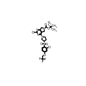 CC(C)(C)OC(=O)N1Cc2nc(Cl)nc(N3CC[C@H](S(=O)(=O)c4ccc(OCC(F)(F)F)cc4Cl)C3)c2C1